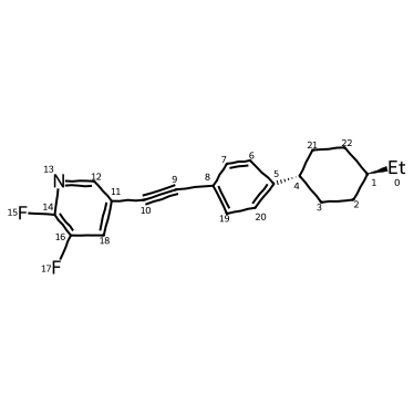 CC[C@H]1CC[C@H](c2ccc(C#Cc3cnc(F)c(F)c3)cc2)CC1